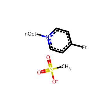 CCCCCCCC[n+]1ccc(CC)cc1.CS(=O)(=O)[O-]